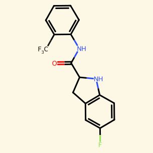 O=C(Nc1ccccc1C(F)(F)F)C1Cc2cc(F)ccc2N1